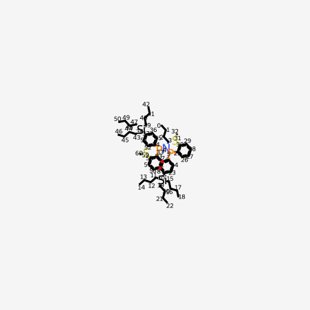 CCCCN(P(c1ccc([Si](CCCC)(CCCC)CCCC)cc1)c1ccccc1SC)P(c1ccc([Si](CCCC)(CCCC)CCCC)cc1)c1ccccc1SC